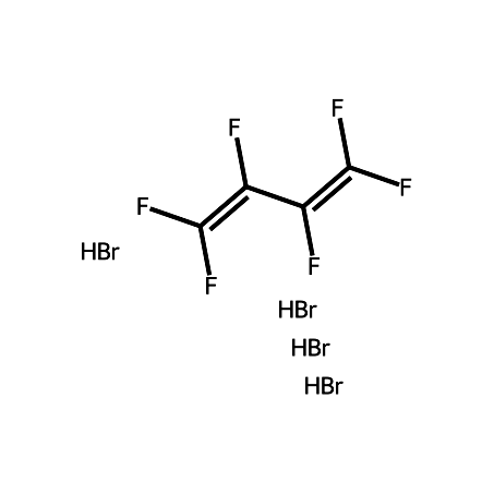 Br.Br.Br.Br.FC(F)=C(F)C(F)=C(F)F